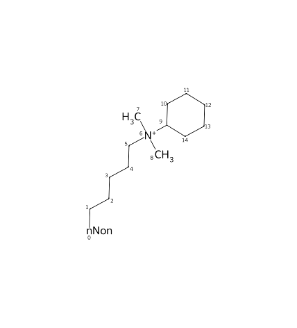 CCCCCCCCCCCCCC[N+](C)(C)C1CCCCC1